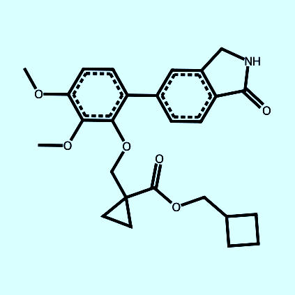 COc1ccc(-c2ccc3c(c2)CNC3=O)c(OCC2(C(=O)OCC3CCC3)CC2)c1OC